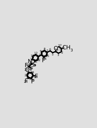 CC1CCC(CCc2ccc(-c3ccc4nc(C(F)(F)Oc5cc(F)c(F)c(F)c5)sc4c3)c(F)c2)OC1